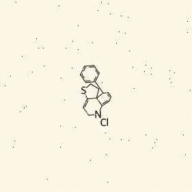 ClN1CC=C2SCCC23C1=CC=CC3c1ccccc1